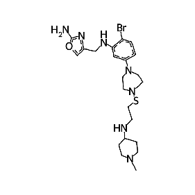 CN1CCC(NCCSN2CCN(c3ccc(Br)c(NCc4coc(N)n4)c3)CC2)CC1